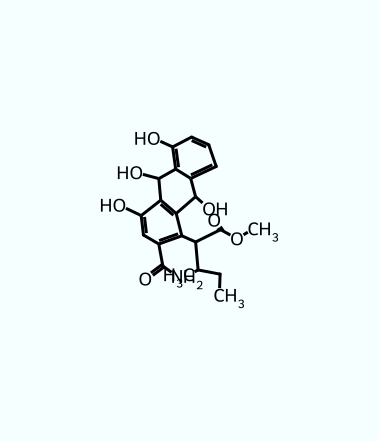 CCC(C)C(C(=O)OC)c1c(C(N)=O)cc(O)c2c1C(O)c1cccc(O)c1C2O